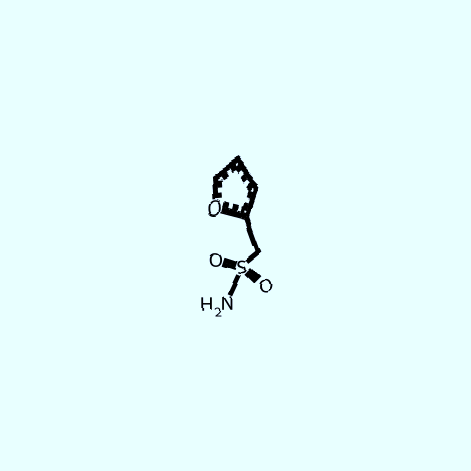 NS(=O)(=O)Cc1ccco1